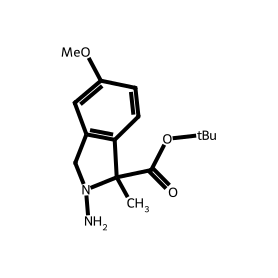 COc1ccc2c(c1)CN(N)C2(C)C(=O)OC(C)(C)C